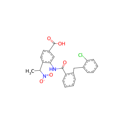 CC(c1ccc(C(=O)O)cc1NC(=O)c1ccccc1Cc1ccccc1Cl)[N+](=O)[O-]